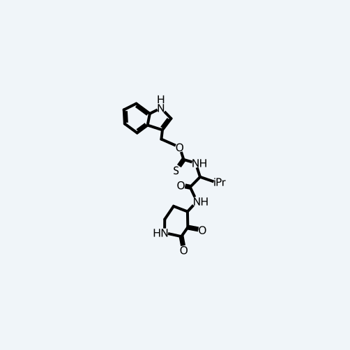 CC(C)C(NC(=S)OCc1c[nH]c2ccccc12)C(=O)NC1CCNC(=O)C1=O